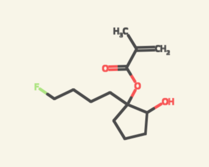 C=C(C)C(=O)OC1(CCCCF)CCCC1O